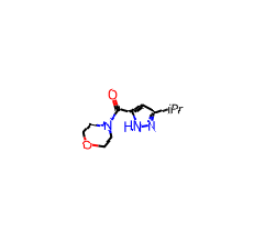 CC(C)c1cc(C(=O)N2CCOCC2)[nH]n1